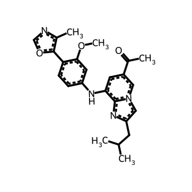 COc1cc(Nc2cc(C(C)=O)cn3cc(CC(C)C)nc23)ccc1-c1ocnc1C